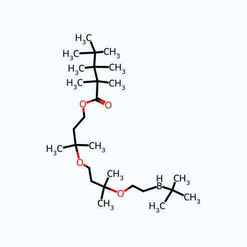 CC(C)(C)BCCOC(C)(C)CCOC(C)(C)CCOC(=O)C(C)(C)C(C)(C)C(C)(C)C